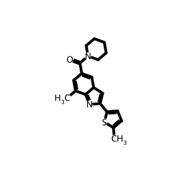 CC1=CC(C(=O)N2CCCCC2)=CC2C=C(c3ccc(C)s3)N=C12